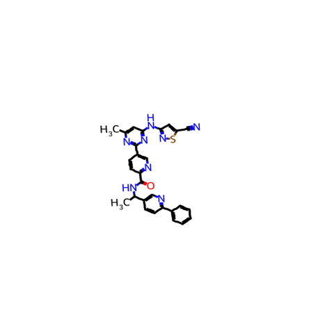 Cc1cc(Nc2cc(C#N)sn2)nc(-c2ccc(C(=O)NC(C)c3ccc(-c4ccccc4)nc3)nc2)n1